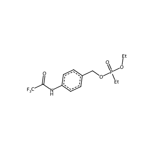 CCOP(=O)(CC)OCc1ccc(NC(=O)C(F)(F)F)cc1